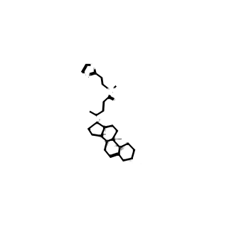 CC(CCC(=O)N(C)CCc1nccs1)[C@H]1CC[C@H]2[C@@H]3CC=C4C[C@@H](O)CC[C@]4(C)[C@H]3CC[C@]12C